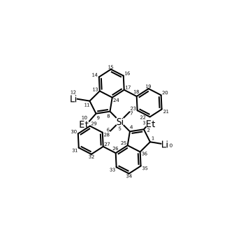 [Li][CH]1C(CC)=C([Si](C)(C)C2=C(CC)[CH]([Li])c3cccc(-c4ccccc4)c32)c2c(-c3ccccc3)cccc21